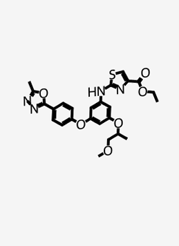 CCOC(=O)c1csc(Nc2cc(Oc3ccc(-c4nnc(C)o4)cc3)cc(OC(C)COC)c2)n1